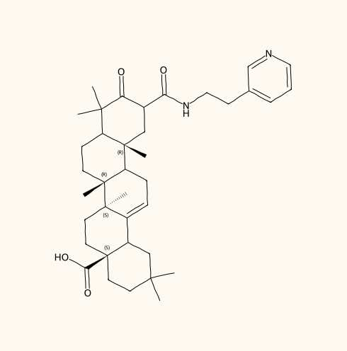 CC1(C)CC[C@]2(C(=O)O)CC[C@]3(C)C(=CCC4[C@@]5(C)CC(C(=O)NCCc6cccnc6)C(=O)C(C)(C)C5CC[C@]43C)C2C1